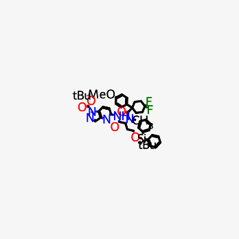 COc1ccc(C2(C(=O)N(C)C(CCO[Si](c3ccccc3)(c3ccccc3)C(C)(C)C)C(=O)Nc3ccc4c(cnn4C(=O)OC(C)(C)C)n3)CCC(F)(F)CC2)cc1